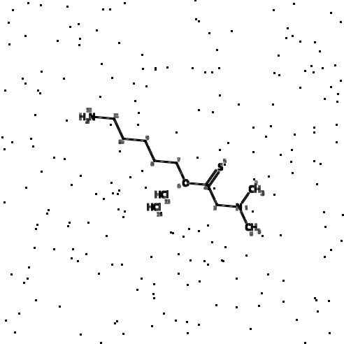 CN(C)CC(=S)OCCCCCN.Cl.Cl